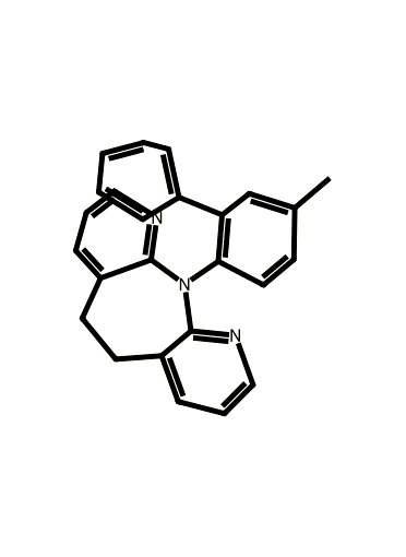 Cc1ccc(N2c3ncccc3CCc3cccnc32)c(-c2ccccc2)c1